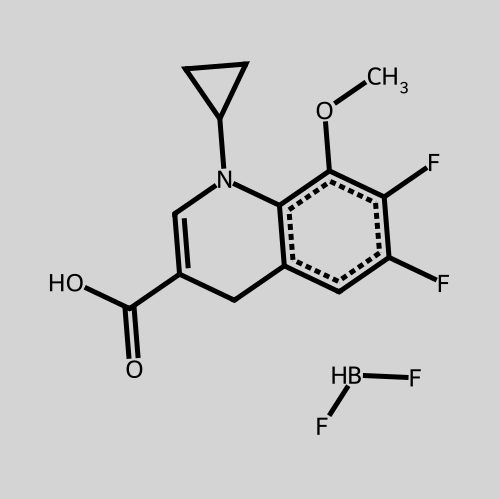 COc1c(F)c(F)cc2c1N(C1CC1)C=C(C(=O)O)C2.FBF